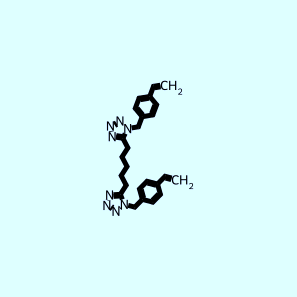 C=Cc1ccc(Cn2nnnc2CCCCCc2nnnn2Cc2ccc(C=C)cc2)cc1